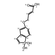 O=C(O)C=CCOc1ccc2c(c1)C=CS2(O)O